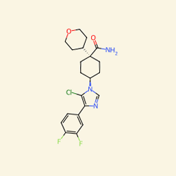 NC(=O)[C@]1(C2CCOCC2)CC[C@H](n2cnc(-c3ccc(F)c(F)c3)c2Cl)CC1